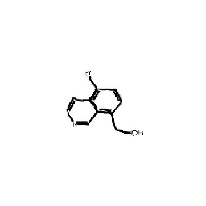 OCc1ccc(Cl)c2ccncc12